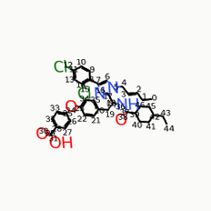 CCC=CCn1cc(-c2ccc(Cl)cc2Cl)nc1[C@H](Cc1ccc(Oc2ccc(C(=O)O)cc2)cc1)NC(=O)C1CCC(CC)CC1